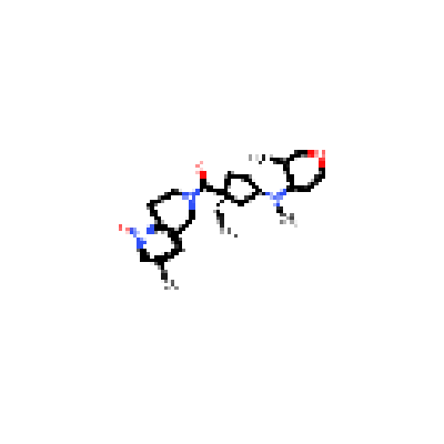 CC1COCCC1N(C)[C@@H]1CC[C@](CC(F)(F)F)(C(=O)N2CCc3c(cc(C(F)(F)F)c[n+]3[O-])C2)C1